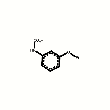 CCOc1cccc(NC(=O)O)c1